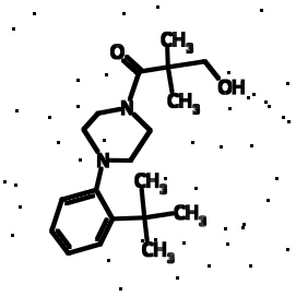 CC(C)(CO)C(=O)N1CCN(c2ccccc2C(C)(C)C)CC1